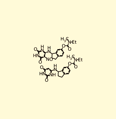 CCN(C)C(=O)Oc1ccc2c(c1)C(Nc1[nH]c(=O)[nH]c(=O)c1N=O)CC2.CCN(C)C(=O)Oc1ccc2c(c1)C(Nc1cc(=O)[nH]c(=O)[nH]1)CC2